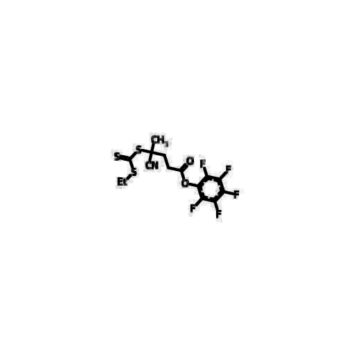 CCSC(=S)SC(C)(C#N)CCC(=O)Oc1c(F)c(F)c(F)c(F)c1F